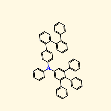 c1ccc(-c2ccccc2-c2ccccc2-c2ccc(N(c3ccccc3)c3cc(-c4ccccc4)c(-c4ccccc4)c(-c4ccccc4)c3)cc2)cc1